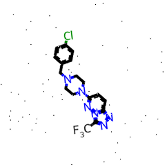 FC(F)(F)c1nnc2ccc(N3CCN(Cc4ccc(Cl)cc4)CC3)nn12